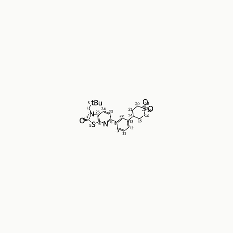 CC(C)(C)Cn1c(=O)sc2nc(-c3cccc(C4CCS(=O)(=O)CC4)c3)ccc21